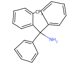 NC(c1ccccc1)(c1ccccc1)c1ccccc1C(F)(F)F